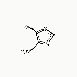 O=[N+]([O-])c1scnc1Cl